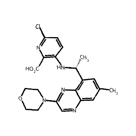 Cc1cc([C@@H](C)Nc2ccc(Cl)nc2C(=O)O)c2nc(N3CCOCC3)cnc2c1